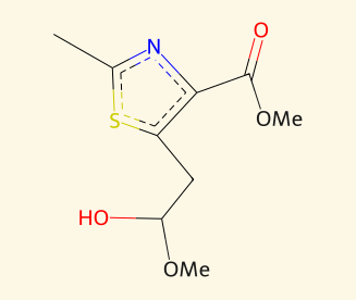 COC(=O)c1nc(C)sc1CC(O)OC